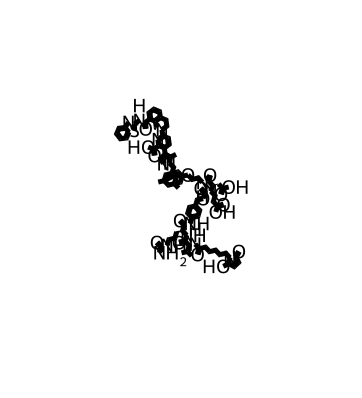 Cc1c(-c2ccc(N3CCc4cccc(C(=O)Nc5nc6ccccc6s5)c4C3)nc2C(=O)O)cnn1CC12CC3(C)CC(C)(C1)CC(OCCNC(=O)[C@H](CC(=O)O)N(CCC(=O)O)C(=O)OCc1ccc(NC(=O)[C@H](CCCNC(N)=O)NC(=O)[C@@H](NC(=O)CCCCCN4C(=O)C=CC4O)C(C)C)cc1)(C3)C2